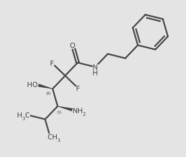 CC(C)[C@H](N)[C@@H](O)C(F)(F)C(=O)NCCc1ccccc1